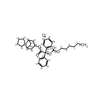 CCCCCCOC(=O)OC(C(=O)OC1CC2CCC(C1)[N+]21CCCC1)(c1ccccc1)c1ccccc1.[Cl-]